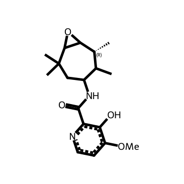 COc1ccnc(C(=O)NC2CC(C)(C)C3OC3[C@H](C)C2C)c1O